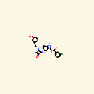 O=C(Nc1n[nH]c2ccc(Nc3c(NCc4cccc(O)c4)c(=O)c3=O)cc12)c1cccc(Cl)c1